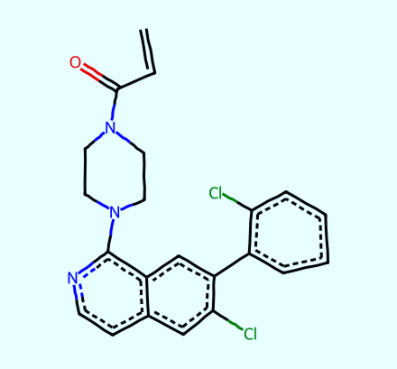 C=CC(=O)N1CCN(c2nccc3cc(Cl)c(-c4ccccc4Cl)cc23)CC1